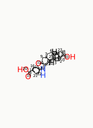 C[C@]12CC[C@H]3[C@@H](CCC4CC(=O)C(Nc5ccc(C(=O)O)cc5)C[C@@]43C)[C@@H]1CC[C@@H]2O